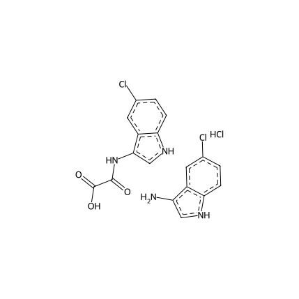 Cl.Nc1c[nH]c2ccc(Cl)cc12.O=C(O)C(=O)Nc1c[nH]c2ccc(Cl)cc12